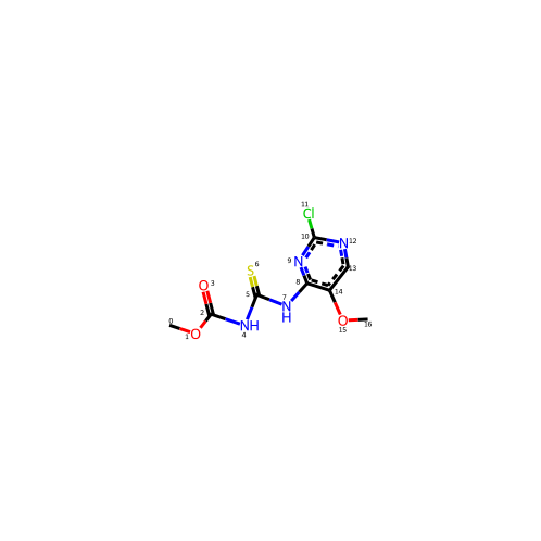 COC(=O)NC(=S)Nc1nc(Cl)ncc1OC